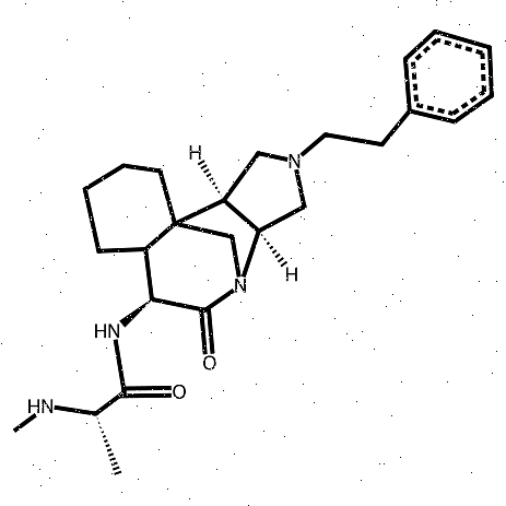 CN[C@@H](C)C(=O)N[C@@H]1C(=O)N2CC3(CCCCC13)[C@H]1CN(CCc3ccccc3)C[C@H]12